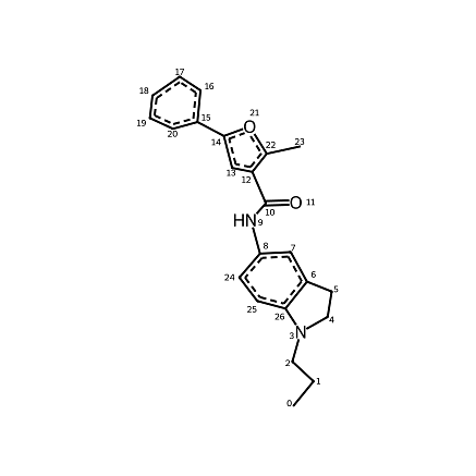 CCCN1CCc2cc(NC(=O)c3cc(-c4ccccc4)oc3C)ccc21